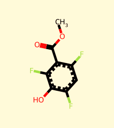 COC(=O)c1c(F)cc(F)c(O)c1F